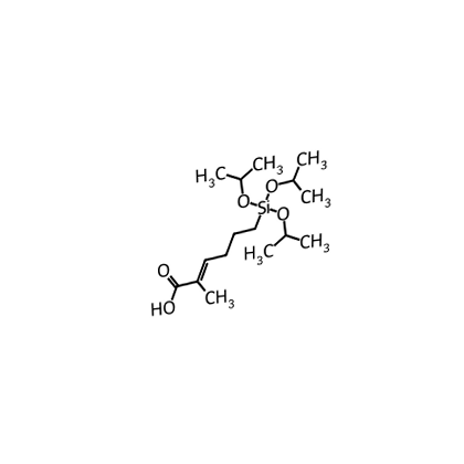 C/C(=C\CCC[Si](OC(C)C)(OC(C)C)OC(C)C)C(=O)O